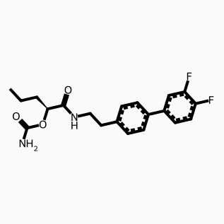 CCC[C@H](OC(N)=O)C(=O)NCCc1ccc(-c2ccc(F)c(F)c2)cc1